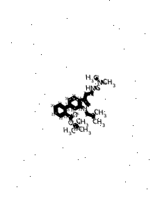 CC(C)Cn1cc(CCNSN(C)C)c2ccc(-c3ccccc3C(=O)OC(C)(C)C)cc21